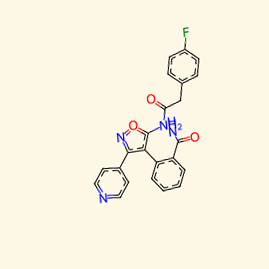 NC(=O)c1ccccc1-c1c(-c2ccncc2)noc1NC(=O)Cc1ccc(F)cc1